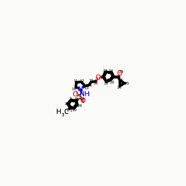 Cc1ccc(S(=O)(=O)NN2CCCC2CCCOc2ccc(C(=O)C3CC3)cc2)cc1